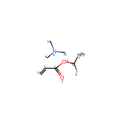 C=CC(=O)OC(I)CCC.CN(C)C